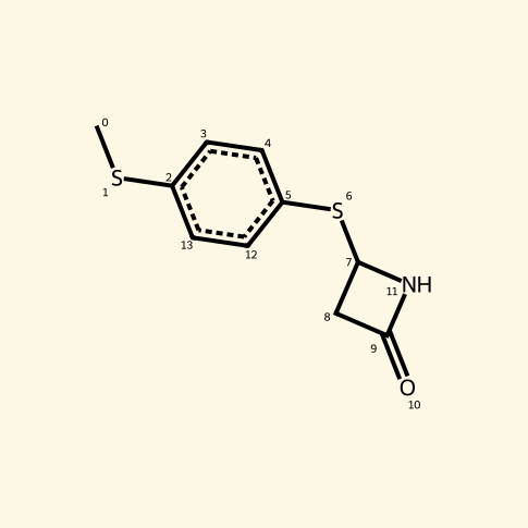 CSc1ccc(SC2CC(=O)N2)cc1